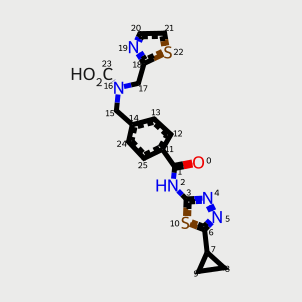 O=C(Nc1nnc(C2CC2)s1)c1ccc(CN(Cc2nccs2)C(=O)O)cc1